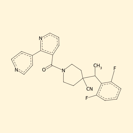 CC(c1c(F)cccc1F)C1(C#N)CCN(C(=O)c2cccnc2-c2ccncc2)CC1